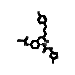 CCCN(CCCc1ccc(F)cc1)C[C@@H]1C[C@H](NC(=O)C(C)(C)C)CC[C@H]1NC(=O)Nc1nnc(C)s1